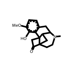 COc1ccc2c(c1O)C13CC(=O)C14CCN(C)C(C2)C3C4